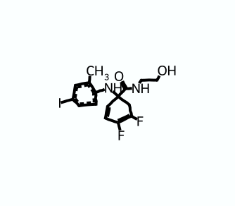 Cc1cc(I)ccc1NC1(C(=O)NCCO)C=CC(F)=C(F)C1